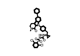 CN1CCc2c(n(-c3ccc(CC4(NC(=O)NS(=O)(=O)c5c(Cl)cccc5Cl)CC4)cc3)c3ccc(-c4ccccc4)cc23)C1=O